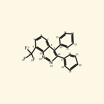 FC(F)(F)c1cccc2c(-c3ccccc3)c(-c3ccccc3)nnc12